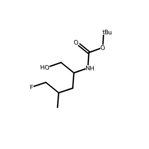 CC(CF)CC(CO)NC(=O)OC(C)(C)C